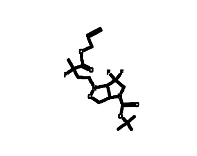 C=CCOC(=O)C(C)(F)CCN1OCC2C1C(F)(F)CN2C(=O)OC(C)(C)C